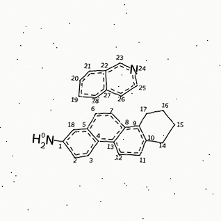 Nc1ccc2c(ccc3c4c(ccc32)CCCC4)c1.c1ccc2cnccc2c1